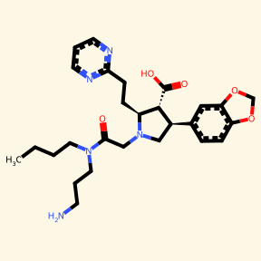 CCCCN(CCCN)C(=O)CN1C[C@H](c2ccc3c(c2)OCO3)[C@@H](C(=O)O)[C@@H]1CCc1ncccn1